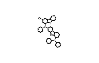 Clc1cc(N(c2ccccc2)c2ccc3c(c2)oc2c(N(c4ccccc4)c4ccccc4)cccc23)c2sc3ccccc3c2c1